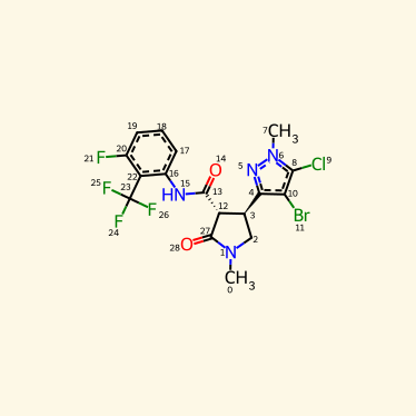 CN1C[C@H](c2nn(C)c(Cl)c2Br)[C@@H](C(=O)Nc2cccc(F)c2C(F)(F)F)C1=O